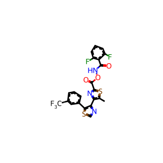 Cc1sc(C(=O)ONC(=O)c2c(F)cccc2F)nc1-c1ncsc1-c1cccc(C(F)(F)F)c1